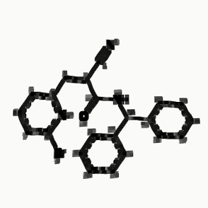 N#CC(=Cc1cccc(Br)n1)C(=O)NC(c1ccccc1)c1ccccc1